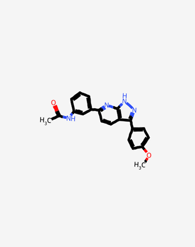 COc1ccc(-c2n[nH]c3nc(-c4cccc(NC(C)=O)c4)ccc23)cc1